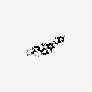 Cc1cc(OCc2ncc(F)cc2F)c(Cl)c(F)c1-n1c(C)c(-c2ccnc(C(C)(C)O)n2)ncc1=O